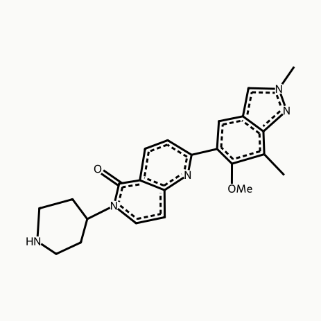 COc1c(-c2ccc3c(=O)n(C4CCNCC4)ccc3n2)cc2cn(C)nc2c1C